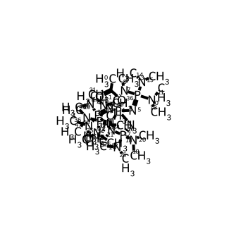 CC(=O)OP(N=P(N(C)C)(N(C)C)N(C)C)(N=P(N(C)C)(N(C)C)N(C)C)(N=P(N(C)C)(N(C)C)N(C)C)N=P(N(C)C)(N(C)C)N(C)C